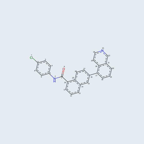 O=C(Nc1ccc(Cl)cc1)c1cccc2cc(-c3cccc4cnccc34)ccc12